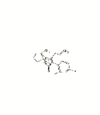 C=CCn1c2c(c(=O)n1-c1ccc(F)cc1F)C1CCC2(C)C1(C)C